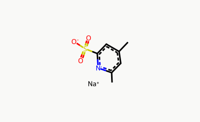 Cc1cc(C)nc(S(=O)(=O)[O-])c1.[Na+]